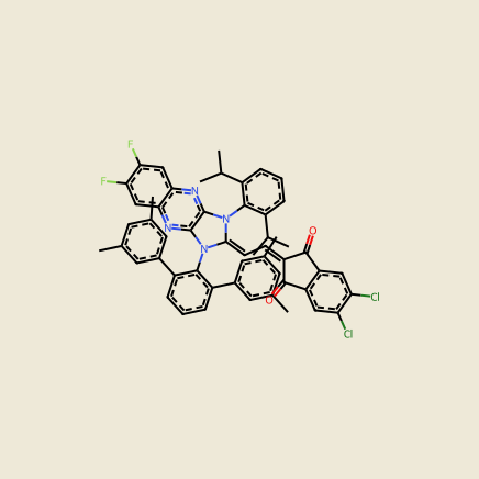 Cc1cc(C)cc(-c2cccc(-c3cc(C)cc(C)c3)c2N2/C(=C/C=C3C(=O)c4cc(Cl)c(Cl)cc4C3=O)N(c3c(C(C)C)cccc3C(C)C)c3nc4cc(F)c(F)cc4nc32)c1